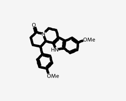 COc1ccc(C2CCC(=O)N3CCc4c([nH]c5ccc(OC)cc45)C23)cc1